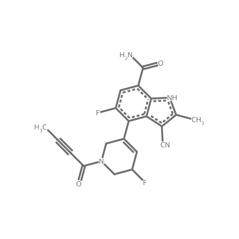 CC#CC(=O)N1CC(c2c(F)cc(C(N)=O)c3[nH]c(C)c(C#N)c23)=CC(F)C1